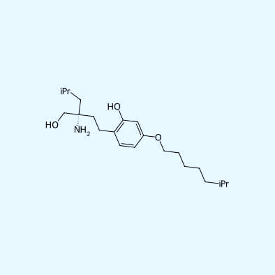 CC(C)CCCCCOc1ccc(CC[C@@](N)(CO)CC(C)C)c(O)c1